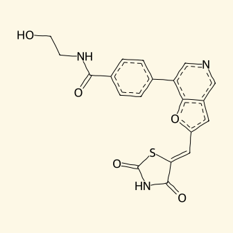 O=C1NC(=O)C(=Cc2cc3cncc(-c4ccc(C(=O)NCCO)cc4)c3o2)S1